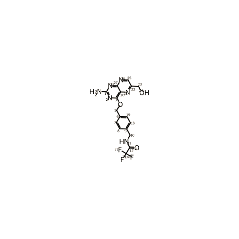 Nc1nc(OCc2ccc(CNC(=O)C(F)(F)F)cc2)c2nc(CO)cnc2n1